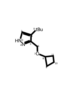 CC(C)(C)c1c[nH]nc1COC1CCC1